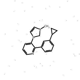 CN1C=CN(c2cccnc2-c2cccc(C3CC3)c2)C1